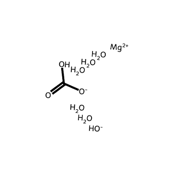 O.O.O.O.O.O=C([O-])O.[Mg+2].[OH-]